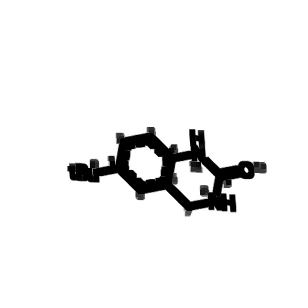 CC(C)(C)c1ccc2c(c1)CNC(=O)N2